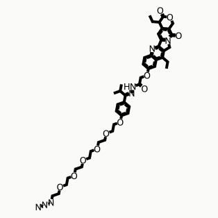 CCc1c2c(nc3ccc(OCC(=O)N/N=C(/c4ccc(OCCOCCOCCOCCOCCOCCN=[N+]=[N-])cc4)C(C)C)cc13)-c1cc3c(c(=O)n1C2)COC(=O)C3CC